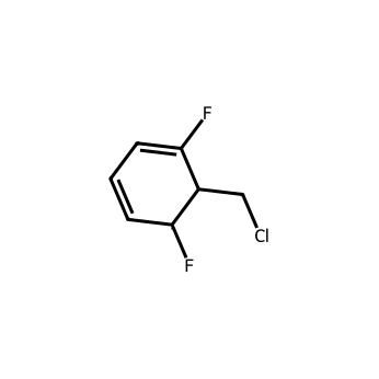 F[C]1C=CC=C(F)C1CCl